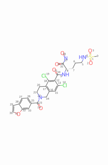 CS(=O)(=O)NCCC[C@H](NC(=O)c1c(Cl)cc2c(c1Cl)CCN(C(=O)c1ccc3ccoc3c1)C2)C(=O)N=O